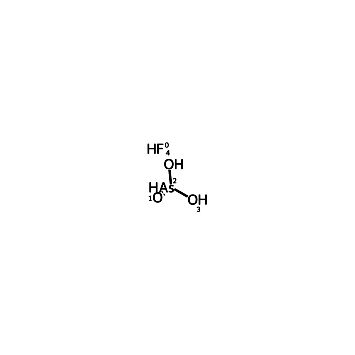 F.O=[AsH](O)O